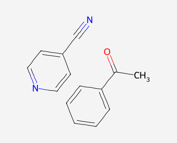 CC(=O)c1ccccc1.N#Cc1ccncc1